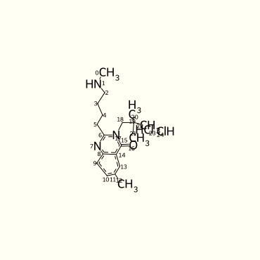 CNCCCCc1nc2ccc(C)cc2c(=O)n1CC(C)(C)C.Cl.Cl